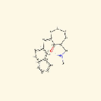 CN(C)CC1CCCCC(=Cc2ccc3ccccc3c2)C1=O